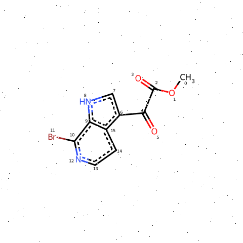 COC(=O)C(=O)c1c[nH]c2c(Br)nccc12